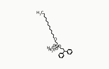 CCCCCCCCCCCCCOCC[Si](OC)(OC)OCCC(c1ccccc1)c1ccccc1